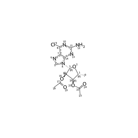 [CH2][C@H]1O[C@@H](n2cnc3c(Cl)nc(N)nc32)[C@H](OC(C)=O)[C@@H]1OC(C)=O